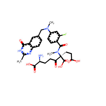 Cc1nc2ccc(CN(C)c3ccc(C(=O)N(C)[C@@](CCC(=O)O)(C(=O)O)C(=O)CC[C@H](N)C(=O)O)c(F)c3)cc2c(=O)[nH]1